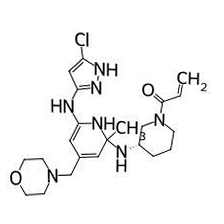 C=CC(=O)N1CCC[C@H](NC2(C)C=C(CN3CCOCC3)C=C(Nc3cc(Cl)[nH]n3)N2)C1